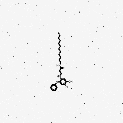 CCCCCCCCCCCCNC(=O)CCNc1cc(O)c(Cl)cc1Sc1ccccc1